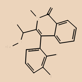 Cn1c(C(OC(C)(C)C)C(=O)O)c(-c2cccc(F)c2F)c2ccccc2c1=O